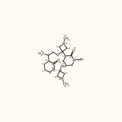 CC(C)N1CCCC(C2(OCC(C)N3CCC[C@@H](C4(O)CN(C)C4)C3=O)CN(C)C2)C1=O